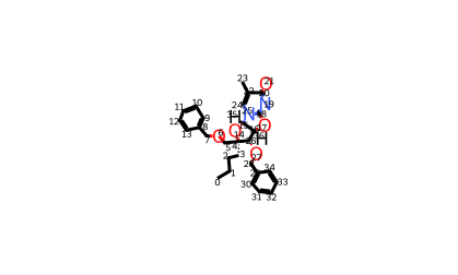 CCCC[C@]1(COCc2ccccc2)O[C@@H]2[C@@H](Oc3nc(=O)c(C)cn32)[C@@H]1OCc1ccccc1